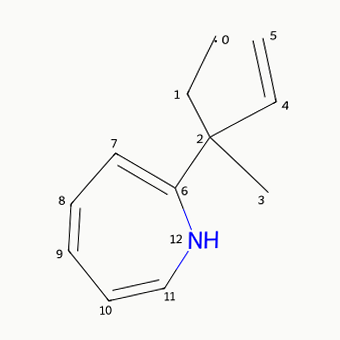 [CH2]CC(C)(C=C)C1=CC=CC=CN1